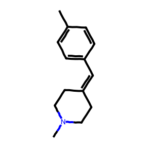 Cc1ccc(C=C2CCN(C)CC2)cc1